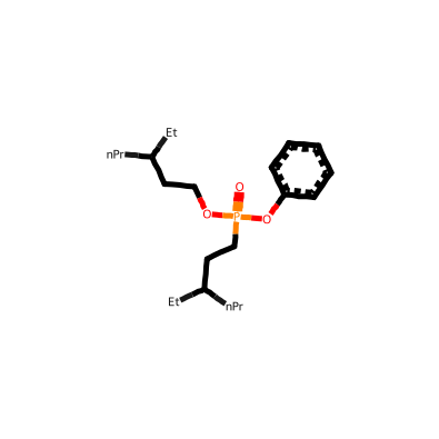 CCCC(CC)CCOP(=O)(CCC(CC)CCC)Oc1ccccc1